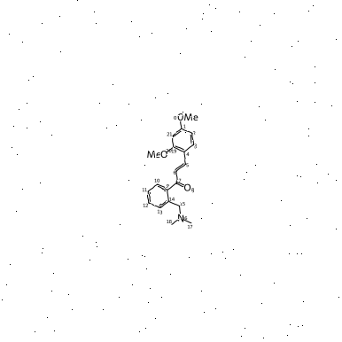 COc1ccc(C=CC(=O)c2ccccc2CN(C)C)c(OC)c1